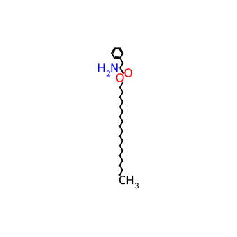 CCCCCCCCCCCCCCCCCCCCCOC(=O)[C@@H](N)Cc1ccccc1